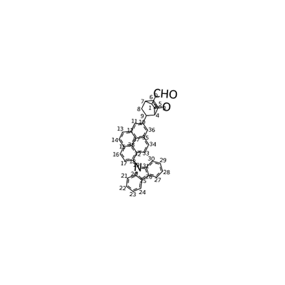 O=CC1C(=O)C2C=CC1CC2c1cc2ccc3ccc(-n4c5ccccc5c5ccccc54)c4ccc(c1)c2c34